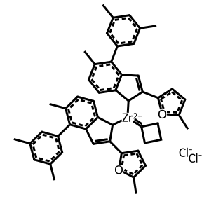 Cc1cc(C)cc(-c2c(C)ccc3c2C=C(c2ccc(C)o2)[CH]3[Zr+2](=[C]2CCC2)[CH]2C(c3ccc(C)o3)=Cc3c2ccc(C)c3-c2cc(C)cc(C)c2)c1.[Cl-].[Cl-]